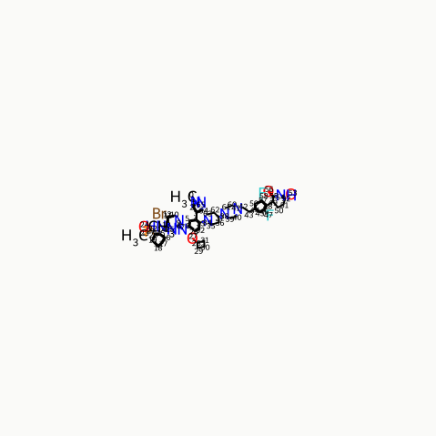 Cn1cc(-c2cc(Nc3ncc(Br)c(Nc4ccccc4P(C)(C)=O)n3)c(OC3CCC3)cc2N2CCC(N3CCN(CCc4cc(F)c(C5CCC(=O)NC5=O)c(F)c4)CC3)CC2)cn1